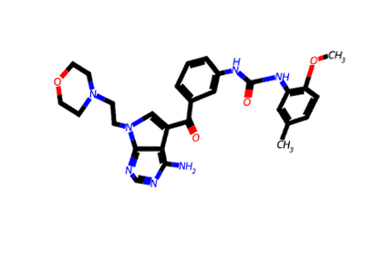 COc1ccc(C)cc1NC(=O)Nc1cccc(C(=O)c2cn(CCN3CCOCC3)c3ncnc(N)c23)c1